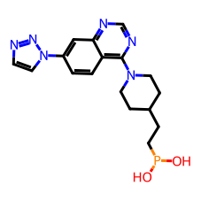 OP(O)CCC1CCN(c2ncnc3cc(-n4ccnn4)ccc23)CC1